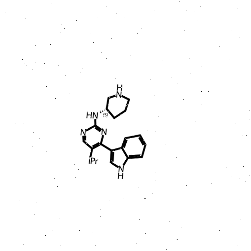 CC(C)c1cnc(N[C@H]2CCCNC2)nc1-c1c[nH]c2ccccc12